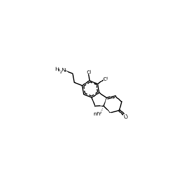 CCC[C@@]12CC(=O)CC=C1c1c(cc(CCN)c(Cl)c1Cl)C2